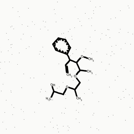 C=CC(c1ccccc1)C(OC)C(C)OCC(C)OCC(C)O